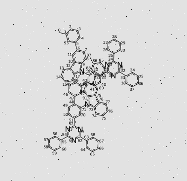 Cc1cccc(-c2ccc3c(c2)c2ccccc2n3-c2cc(-c3nc(-c4ccccc4)nc(-c4ccccc4)n3)ccc2-c2cccc(-c3ccc(-c4nc(-c5ccccc5)nc(-c5ccccc5)n4)cc3-n3c4ccccc4c4cc(-c5cccc(C)c5)ccc43)c2)c1